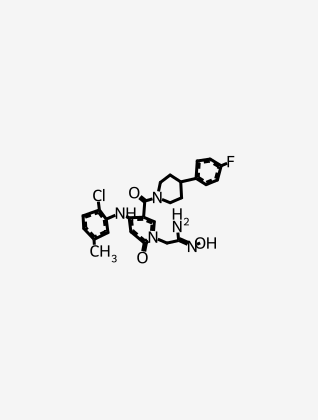 Cc1ccc(Cl)c(Nc2cc(=O)n(C/C(N)=N/O)cc2C(=O)N2CCC(c3ccc(F)cc3)CC2)c1